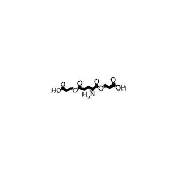 N[C@@H](CCC(=O)OCCC(=O)O)C(=O)OCCC(=O)O